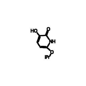 CC(C)Oc1ccc(O)c(=O)[nH]1